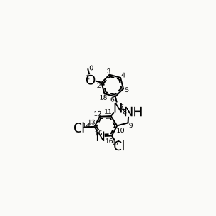 COc1cccc(N2NCc3c2cc(Cl)nc3Cl)c1